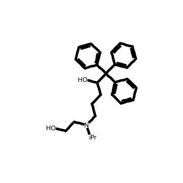 CC(C)N(CCO)CCCC(O)C(c1ccccc1)(c1ccccc1)c1ccccc1